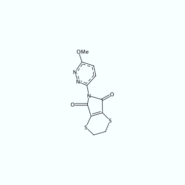 COc1ccc(N2C(=O)C3=C(SCCS3)C2=O)nn1